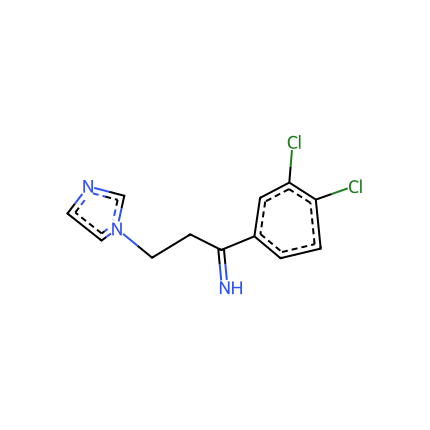 N=C(CCn1ccnc1)c1ccc(Cl)c(Cl)c1